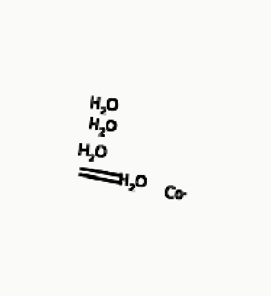 C=C.O.O.O.O.[Co]